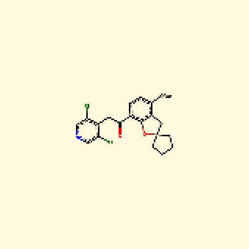 COc1ccc(C(=O)Cc2c(Cl)cncc2Cl)c2c1CC1(CCCC1)O2